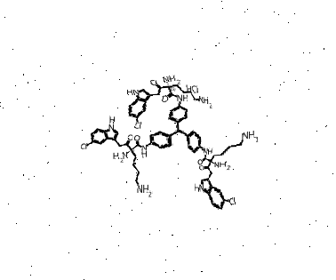 Cl.NCCCC[C@](N)(C(=O)Cc1c[nH]c2ccc(Cl)cc12)C(=O)Nc1ccc(C(c2ccc(NC(=O)[C@](N)(CCCCN)C(=O)Cc3c[nH]c4ccc(Cl)cc34)cc2)c2ccc(NC(=O)[C@](N)(CCCCN)C(=O)Cc3c[nH]c4ccc(Cl)cc34)cc2)cc1